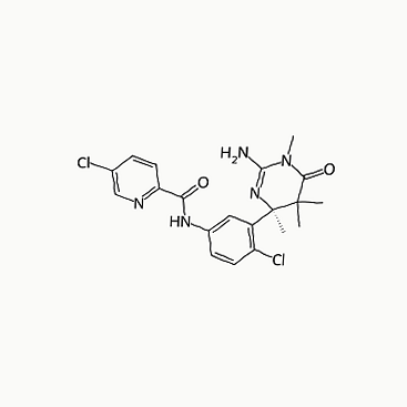 CN1C(=O)C(C)(C)[C@@](C)(c2cc(NC(=O)c3ccc(Cl)cn3)ccc2Cl)N=C1N